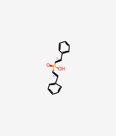 O=P(O)(/C=C/c1ccccc1)/C=C/c1ccccc1